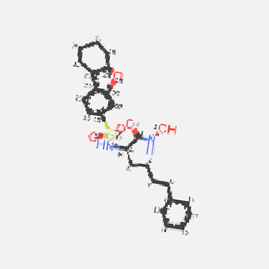 O=C(NO)[C@@H](CCCCc1ccccc1)NS(=O)(=O)c1ccc2c3c(oc2c1)CCCC3